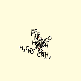 Cc1cc(CCN(C(=O)[C@](O)(c2ccccc2)[C@@](O)(C(=O)N(CCc2ccc(C(F)(F)F)cn2)c2ccc3c(c2)CCC3)c2ccc(F)cc2)c2ccc(C)c(C)c2)on1